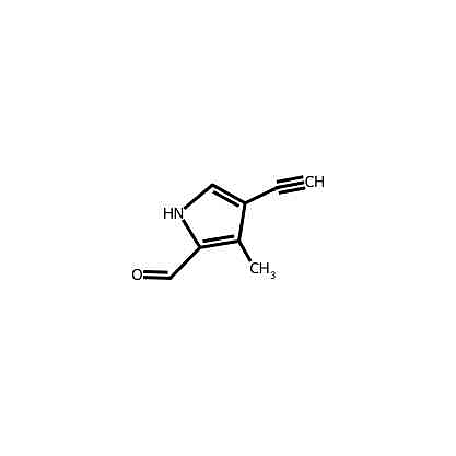 C#Cc1c[nH]c(C=O)c1C